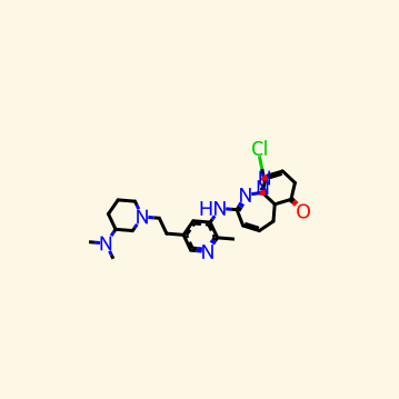 Cc1ncc(CCN2CCCC(N(C)C)C2)cc1NC1=NC23N=CN=C(Cl)C2=CCC(=O)C3CC=C1